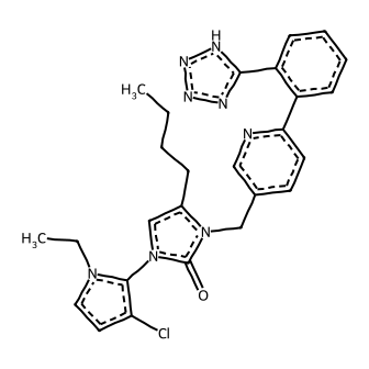 CCCCc1cn(-c2c(Cl)ccn2CC)c(=O)n1Cc1ccc(-c2ccccc2-c2nnn[nH]2)nc1